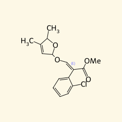 COC(=O)/C(=C/OC1C=C(C)C(C)O1)c1ccccc1Cl